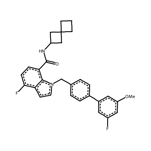 COc1cc(F)cc(-c2ccc(Cn3ccc4c(F)ccc(C(=O)NC5CC6(CCC6)C5)c43)cc2)c1